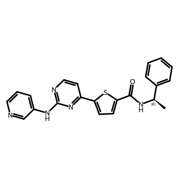 C[C@@H](NC(=O)c1ccc(-c2ccnc(Nc3cccnc3)n2)s1)c1ccccc1